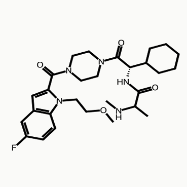 CNC(C)C(=O)N[C@H](C(=O)N1CCN(C(=O)c2cc3cc(F)ccc3n2CCOC)CC1)C1CCCCC1